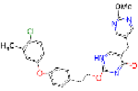 COc1ncc(Cc2c[nH]c(OCCc3ccc(Oc4ccc(Cl)c(C)c4)cc3)nc2=O)cn1